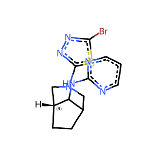 Brc1nnc(N2CC3CC[C@H](C2)C3Nc2ncccn2)s1